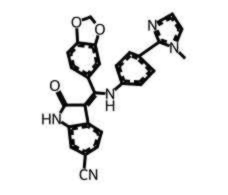 Cn1ccnc1-c1ccc(NC(=C2C(=O)Nc3cc(C#N)ccc32)c2ccc3c(c2)OCO3)cc1